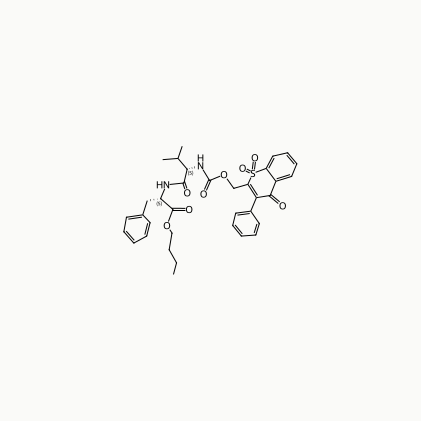 CCCCOC(=O)[C@H](Cc1ccccc1)NC(=O)[C@@H](NC(=O)OCC1=C(c2ccccc2)C(=O)c2ccccc2S1(=O)=O)C(C)C